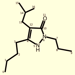 CCCCc1[nH]n(CCC)c(=O)c1CC(C)C